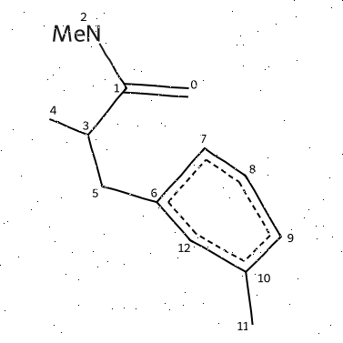 C=C(NC)C(C)Cc1cccc(C)c1